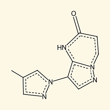 Cc1cnn(-c2cnn3ccc(=O)[nH]c23)c1